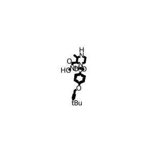 CC1NCCN(S(=O)(=O)c2ccc(OCC#CC(C)(C)C)cc2)C1C(=O)NO